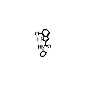 O=C(NC1CCCC1)c1cc2cccc(Cl)c2[nH]1